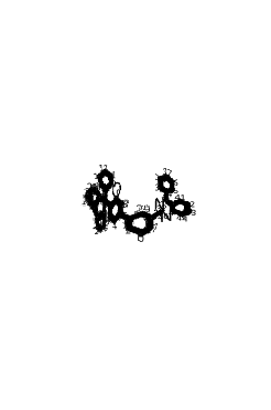 C1=CC(c2ccc3c(c2)Oc2ccccc2C32C3=C(C=CCC3)C3=C2CCC=C3)CC(c2nc(-c3ccccc3)c3ccccc3n2)=C1